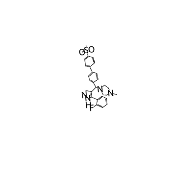 CN1CCN(C(c2ccc(-c3ccc(S(C)(=O)=O)cc3)cc2)c2cn[nH]c2-c2ccccc2F)CC1